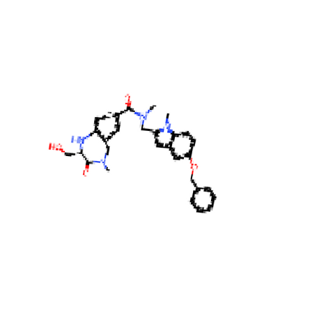 CN(Cc1cc2cc(OCc3ccccc3)ccc2n1C)C(=O)c1ccc2c(c1)CN(C)C(=O)[C@@H](CO)N2